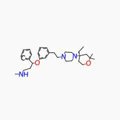 CC[C@]1(N2CCN(CCc3cccc(OC(CCNC)c4ccccc4)c3)CC2)CCOC(C)(C)C1